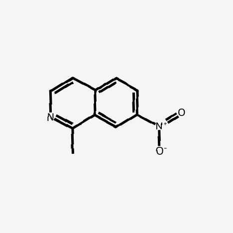 Cc1nccc2ccc([N+](=O)[O-])cc12